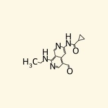 CCNc1ncc(C=O)c2cc(NC(=O)C3CC3)ncc12